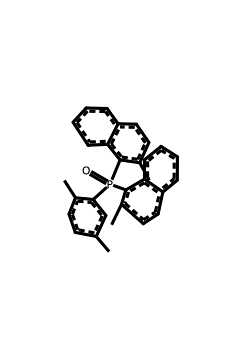 Cc1ccc(C)c(P(=O)(c2c(C)ccc3ccccc23)c2c(C)ccc3ccccc23)c1